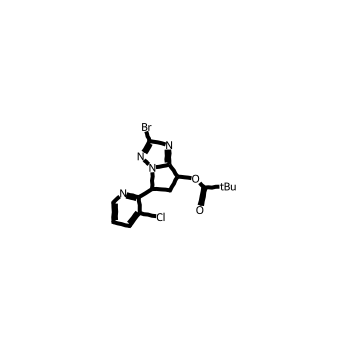 CC(C)(C)C(=O)OC1CC(c2ncccc2Cl)n2nc(Br)nc21